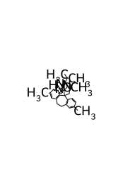 Cc1ccc2c(c1)CCc1cc(C)ccc1C2(C[C@H](C)N)c1nnc(C(C)C)o1